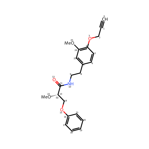 C#CCOc1ccc(CCNC(=O)[C@H](COc2ccccc2)OC)cc1OC